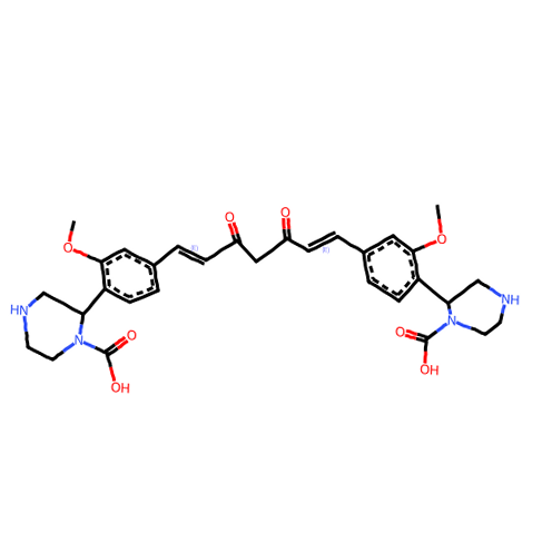 COc1cc(/C=C/C(=O)CC(=O)/C=C/c2ccc(C3CNCCN3C(=O)O)c(OC)c2)ccc1C1CNCCN1C(=O)O